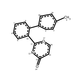 Cc1ccc(-c2ccccc2-c2nc(=O)cco2)cc1